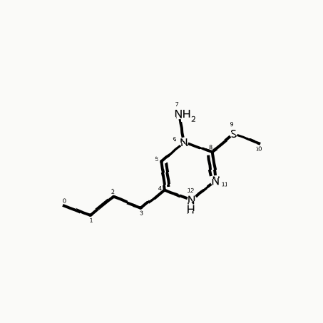 CCCCC1=CN(N)C(SC)=NN1